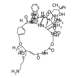 CC[C@H](C)[C@H]1NC(=O)[C@@H](NC(=O)[C@H](C)[C@H](O)C(C)C)[C@@H](C)OC(=O)[C@@H]2COC(=O)CNC(=O)/C=C/[C@](O)(CSCCCN)[C@@H](C)OC3=CC=C(CC3)[C@H](NC1=O)C(=O)N(C)[C@@H](Cc1ccccc1)C(=O)N[C@H]([C@@H](C)O)C(=O)N2